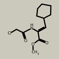 COC(=O)C(=CC1CCCCC1)NC(=O)CCl